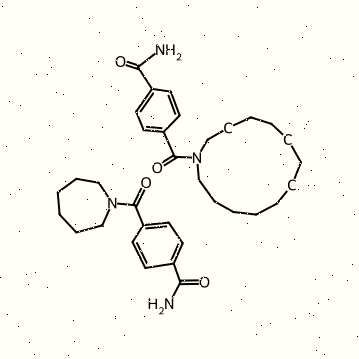 NC(=O)c1ccc(C(=O)N2CCCCCC2)cc1.NC(=O)c1ccc(C(=O)N2CCCCCCCCCCCC2)cc1